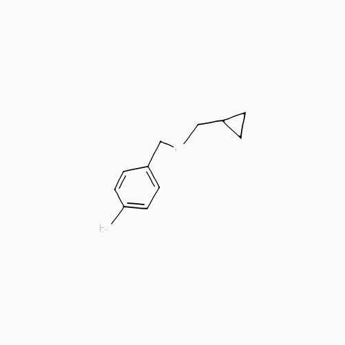 Brc1ccc(COCC2CC2)cc1